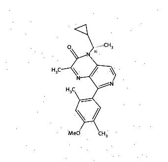 COc1cc(C)c(-c2nccc3c2nc(C)c(=O)n3[C@@H](C)C2CC2)cc1C